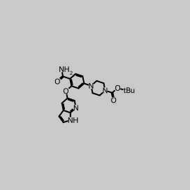 CC(C)(C)OC(=O)N1CCN(c2ccc(C(N)=O)c(Oc3cnc4[nH]ccc4c3)c2)CC1